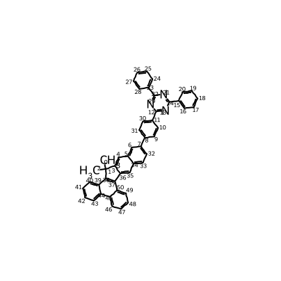 CC1(C)c2cc3cc(-c4ccc(-c5nc(-c6ccccc6)nc(-c6ccccc6)n5)cc4)ccc3cc2-c2c1c1ccccc1c1ccccc21